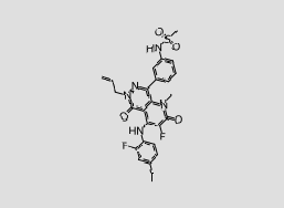 C=CCn1nc(-c2cccc(NS(C)(=O)=O)c2)c2c(c(Nc3ccc(I)cc3F)c(F)c(=O)n2C)c1=O